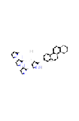 O=C(O)c1ccc[nH]1.O=C(O)c1ccc[nH]1.O=C(O)c1ccc[nH]1.O=C(O)c1ccc[nH]1.c1ccc2c(c1)ccc1c3c(ccc12)CCCC3